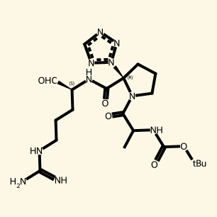 CC(NC(=O)OC(C)(C)C)C(=O)N1CCC[C@]1(C(=O)N[C@H](C=O)CCCNC(=N)N)n1ncnn1